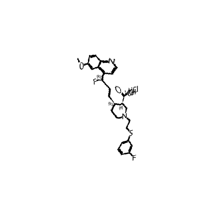 COc1ccc2nccc([C@H](F)CC[C@@H]3CCN(CCSc4cccc(F)c4)C[C@@H]3C(=O)O)c2c1.Cl.Cl